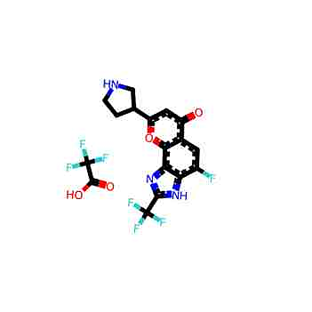 O=C(O)C(F)(F)F.O=c1cc(C2CCNC2)oc2c1cc(F)c1[nH]c(C(F)(F)F)nc12